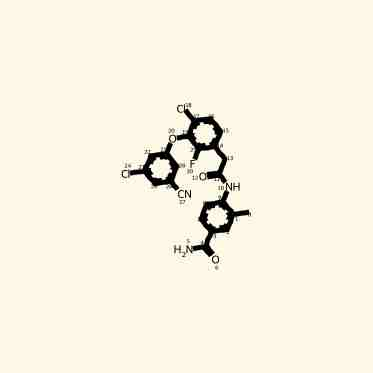 Cc1cc(C(N)=O)ccc1NC(=O)Cc1ccc(Cl)c(Oc2cc(Cl)cc(C#N)c2)c1F